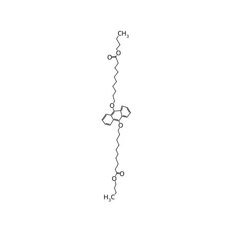 CCCCOC(=O)CCCCCCCCCOc1c2ccccc2c(OCCCCCCCCCC(=O)OCCCC)c2ccccc12